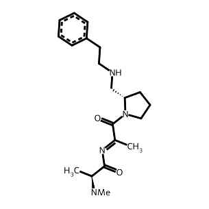 CN[C@@H](C)C(=O)/N=C(\C)C(=O)N1CCC[C@H]1CNCCc1ccccc1